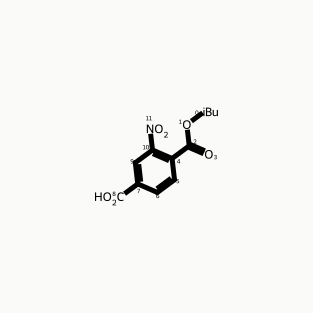 CCC(C)OC(=O)c1ccc(C(=O)O)cc1[N+](=O)[O-]